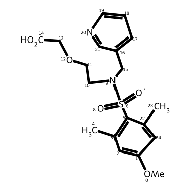 COc1cc(C)c(S(=O)(=O)N(CCOCC(=O)O)Cc2cccnc2)c(C)c1